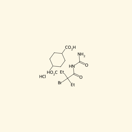 CCC(Br)(CC)C(=O)NC(N)=O.Cl.O=C(O)C1CCC(C(=O)O)CC1